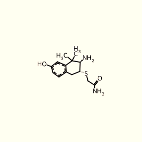 CC1(C)c2cc(O)ccc2C[C@@H](SCC(N)=O)[C@@H]1N